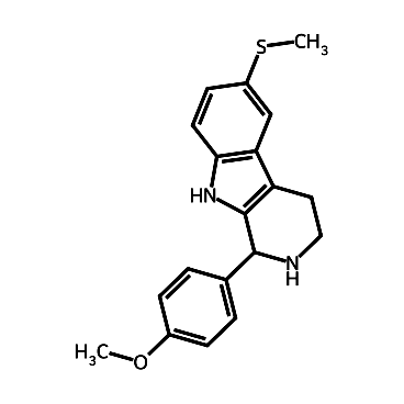 COc1ccc(C2NCCc3c2[nH]c2ccc(SC)cc32)cc1